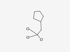 ClC(Cl)(Cl)CC1CCCC1